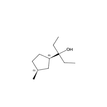 CCC(O)(CC)[C@@H]1CC[C@H](C)C1